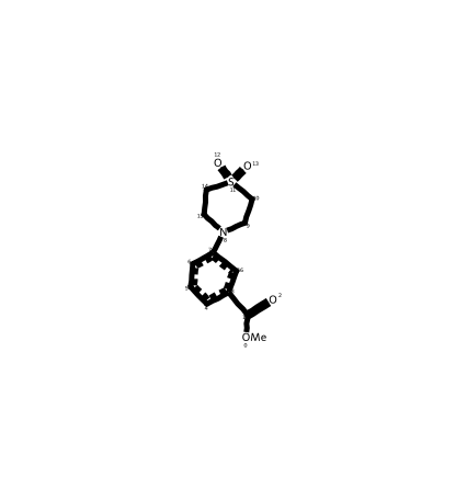 COC(=O)c1cccc(N2CCS(=O)(=O)CC2)c1